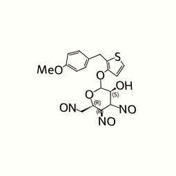 COc1ccc(Cc2sccc2OC2O[C@H](CN=O)[C@H](N=O)C(N=O)[C@@H]2O)cc1